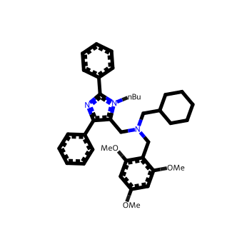 CCCCn1c(-c2ccccc2)nc(-c2ccccc2)c1CN(Cc1c(OC)cc(OC)cc1OC)CC1CCCCC1